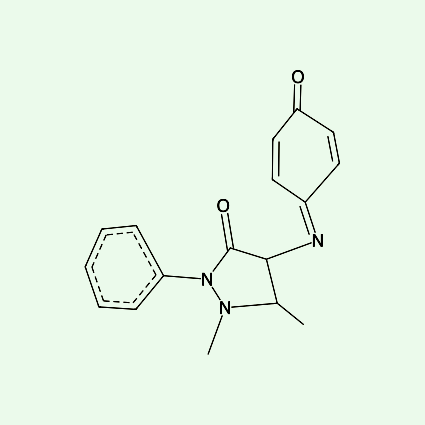 CC1C(N=C2C=CC(=O)C=C2)C(=O)N(c2ccccc2)N1C